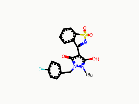 CC(C)(C)n1c(O)c(C2=NS(=O)(=O)c3ccccc32)c(=O)n1Cc1ccc(F)cc1